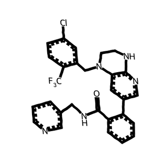 O=C(NCc1cccnc1)c1ccccc1-c1cnc2c(c1)N(Cc1cc(Cl)ccc1C(F)(F)F)CCN2